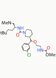 CNC[C@H](CCC(C)(C)C)NC(=O)N1CCC[C@@H](C(OCCNC(=O)OC)c2cccc(Cl)c2)C1